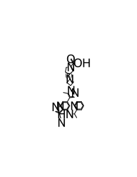 Cc1c(-c2cc(NC(C)c3ccccn3)c3c(C#N)cnn3c2)cnn1C1CN([C@@H]2CCN(C(=O)O)C2)C1